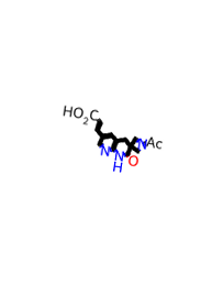 CC(=O)N1CC2(Cc3cc(C=CC(=O)O)cnc3NC2=O)C1